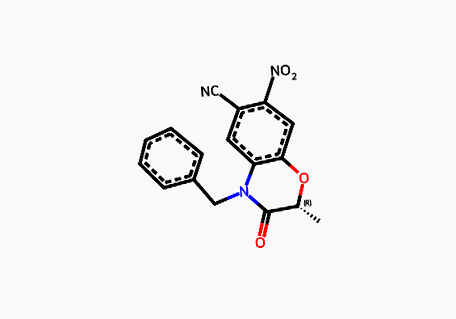 C[C@H]1Oc2cc([N+](=O)[O-])c(C#N)cc2N(Cc2ccccc2)C1=O